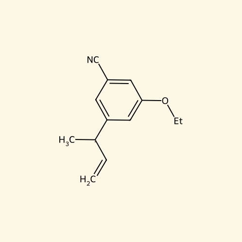 C=C[C](C)c1cc(C#N)cc(OCC)c1